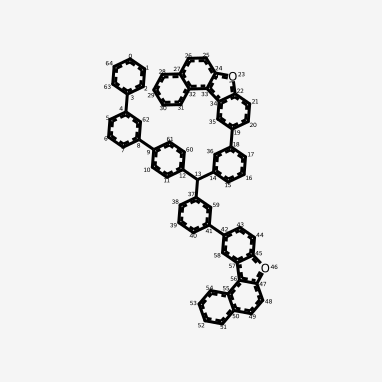 c1ccc(-c2cccc(-c3ccc(C(c4cccc(-c5ccc6oc7ccc8ccccc8c7c6c5)c4)c4cccc(-c5ccc6oc7ccc8ccccc8c7c6c5)c4)cc3)c2)cc1